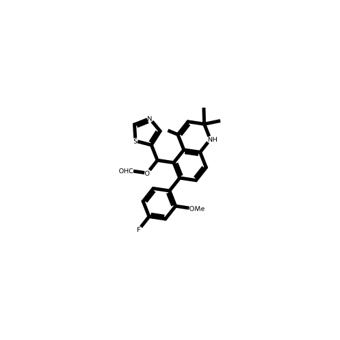 COc1cc(F)ccc1-c1ccc2c(c1C(OC=O)c1cncs1)C(C)=CC(C)(C)N2